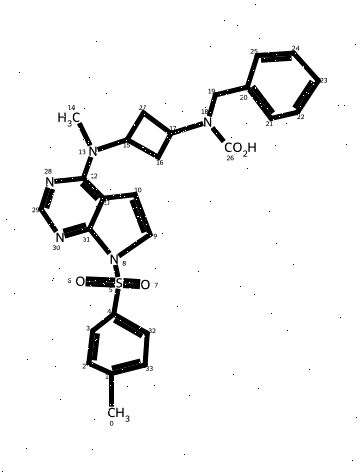 Cc1ccc(S(=O)(=O)n2ccc3c(N(C)C4CC(N(Cc5ccccc5)C(=O)O)C4)ncnc32)cc1